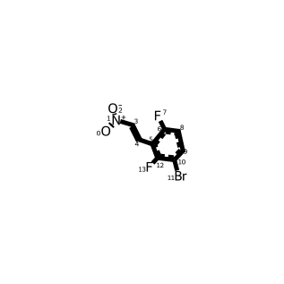 O=[N+]([O-])C=Cc1c(F)ccc(Br)c1F